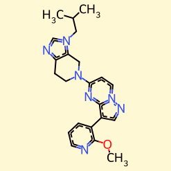 COc1ncccc1-c1cnn2ccc(N3CCc4ncn(CC(C)C)c4C3)nc12